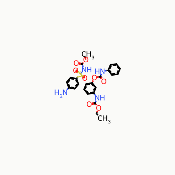 CCOC(=O)Nc1cccc(OC(=O)Nc2ccccc2)c1.COC(=O)NS(=O)(=O)c1ccc(N)cc1